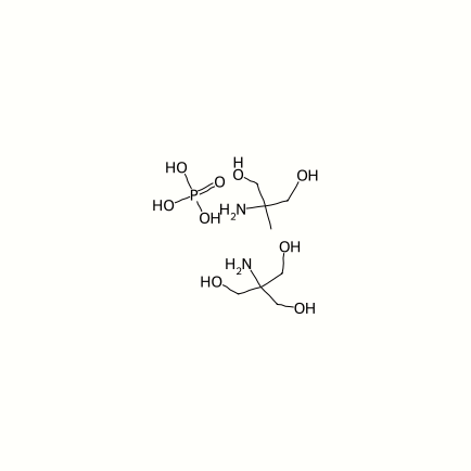 CC(N)(CO)CO.NC(CO)(CO)CO.O=P(O)(O)O